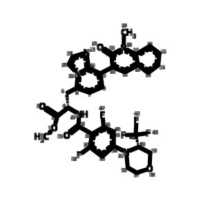 COC(=O)[C@H](Cc1ccc(-c2cc3ccccc3n(C)c2=O)c2nccn12)NC(=O)c1c(F)cc(N2CCOC[C@H]2C(F)(F)F)cc1F